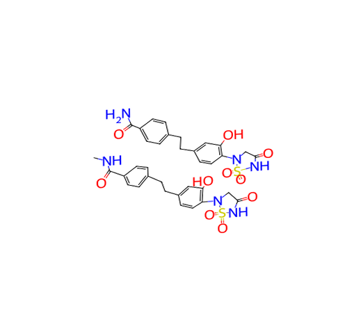 CNC(=O)c1ccc(CCc2ccc(N3CC(=O)NS3(=O)=O)c(O)c2)cc1.NC(=O)c1ccc(CCc2ccc(N3CC(=O)NS3(=O)=O)c(O)c2)cc1